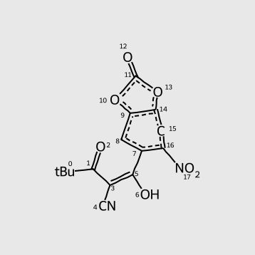 CC(C)(C)C(=O)C(C#N)=C(O)c1cc2oc(=O)oc2cc1[N+](=O)[O-]